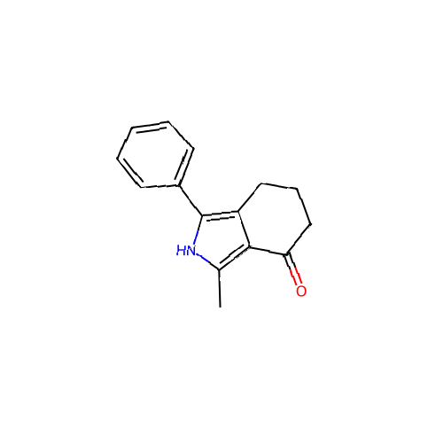 Cc1[nH]c(-c2ccccc2)c2c1C(=O)CCC2